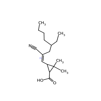 CCCCC(CC)C/C(C#N)=C\C1C(C(=O)O)C1(C)C